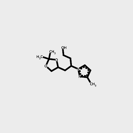 Cc1ccn(C(CCO)CC2COC(C)(C)O2)n1